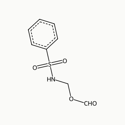 O=COCNS(=O)(=O)c1ccccc1